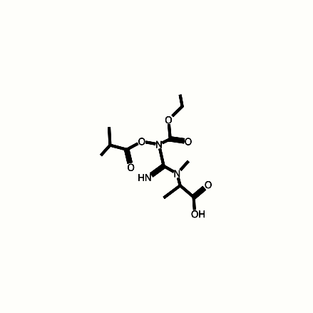 CCOC(=O)N(OC(=O)C(C)C)C(=N)N(C)C(C)C(=O)O